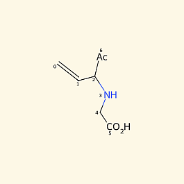 C=CC(NCC(=O)O)C(C)=O